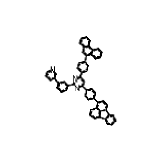 c1cncc(-c2cccc(-c3nc(-c4ccc(-c5ccc6c7c(cccc57)-c5ccccc5-6)cc4)cc(-c4ccc(-c5cc6ccccc6c6ccccc56)cc4)n3)c2)c1